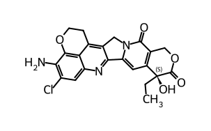 CC[C@@]1(O)C(=O)OCc2c1cc1n(c2=O)Cc2c-1nc1cc(Cl)c(N)c3c1c2CCO3